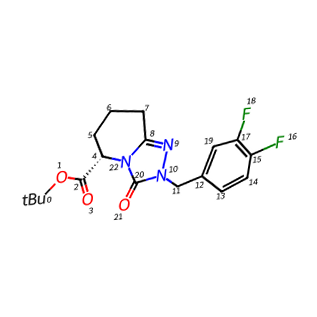 CC(C)(C)OC(=O)[C@@H]1CCCc2nn(Cc3ccc(F)c(F)c3)c(=O)n21